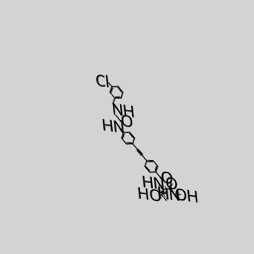 C[C@@H](O)[C@H](NC(=O)c1ccc(C#Cc2ccc(NC(=O)CNCc3cccc(Cl)c3)cc2)cc1)C(=O)NO